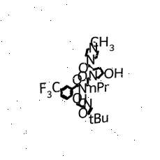 CCC[C@@H](NC(=O)c1cc(C(F)(F)F)ccc1OCc1ncc(C(C)(C)C)o1)C(=O)N1C[C@@H](O)C[C@@H]1C(=O)N1CCN(C)CC1